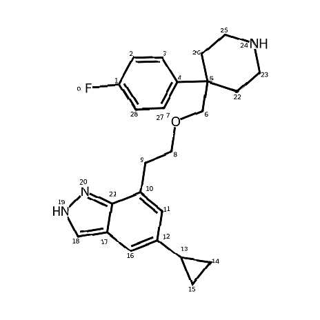 Fc1ccc(C2(COCCc3cc(C4CC4)cc4c[nH]nc34)CCNCC2)cc1